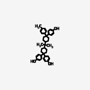 Cc1ccc(C2(c3ccc(O)cc3)CCC(C(C)(C)C3CCC(c4ccc(O)cc4)(c4ccc(O)cc4)CC3)CC2)cc1